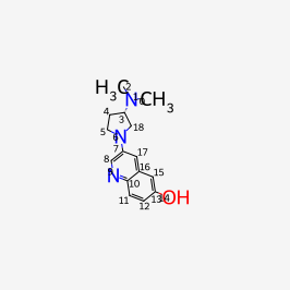 CN(C)[C@H]1CCN(c2cnc3ccc(O)cc3c2)C1